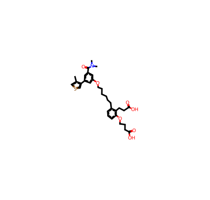 Cc1cscc1-c1cc(OCCCCCCc2cccc(OCCCC(=O)O)c2CCC(=O)O)cc(C(=O)N(C)C)c1